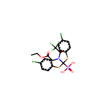 CCOC(=O)CN(C(=O)C(F)(F)F)C(Sc1ccc(Br)cc1)(Sc1ccc(Br)cc1)P(=O)(O)O